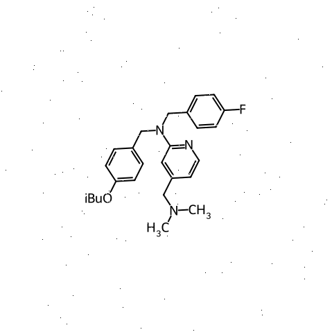 CC(C)COc1ccc(CN(Cc2ccc(F)cc2)c2cc(CN(C)C)ccn2)cc1